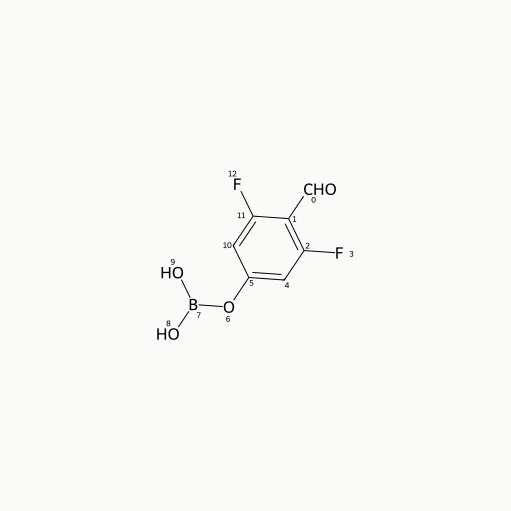 O=Cc1c(F)cc(OB(O)O)cc1F